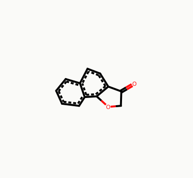 O=C1COc2c1ccc1ccccc21